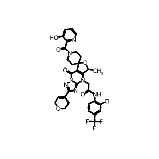 CC1OC2(CCN(C(=O)c3ncccc3O)CC2)c2c1n(CC(=O)Nc1ccc(C(F)(F)F)cc1Cl)c1nc(C3=CCOCC3)nn1c2=O